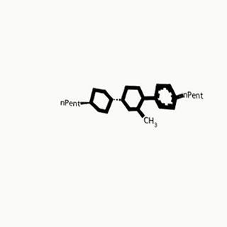 CCCCCc1ccc(C2CCC([C@H]3CC[C@H](CCCCC)CC3)CC2C)cc1